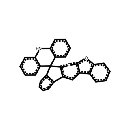 c1ccc2c(c1)Nc1ccccc1C21c2ccccc2-c2cc3c(cc21)oc1ccccc13